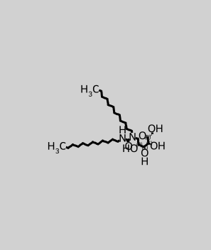 CCCCCCCCCCCCNC(=O)N(CCCCCCCCCCCC)C1O[C@H](CO)[C@@H](O)[C@H](O)[C@H]1O